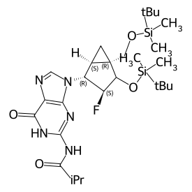 CC(C)C(=O)Nc1nc2c(ncn2[C@H]2[C@H](F)C(O[Si](C)(C)C(C)(C)C)[C@]3(CO[Si](C)(C)C(C)(C)C)C[C@H]23)c(=O)[nH]1